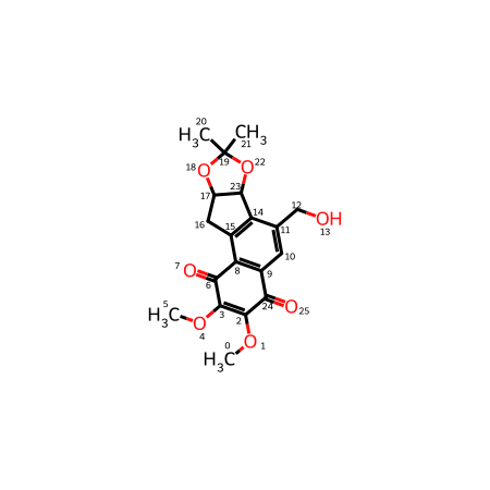 COC1=C(OC)C(=O)c2c(cc(CO)c3c2CC2OC(C)(C)OC32)C1=O